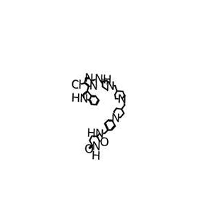 O=C1CCC(NCc2ccc(N3CCC(CN4CCC(CN5CC[C@@H](Nc6ncc(Cl)c(-c7c[nH]c8ccccc78)n6)C5)CC4)CC3)cc2)C(=O)N1